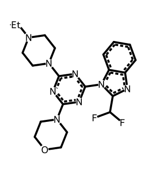 C[CH]N1CCN(c2nc(N3CCOCC3)nc(-n3c(C(F)F)nc4ccccc43)n2)CC1